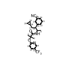 CC(NC(=O)C(C)(C)Oc1ccc(C(F)(F)F)cn1)C(CC1CC1)c1cccc(C#N)c1